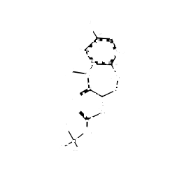 CN1C(=O)[C@@H](NC(=O)OC(C)(C)C)CNc2ncc(F)cc21